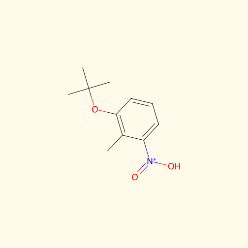 Cc1c(OC(C)(C)C)cccc1[N+](=O)O